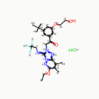 CCOc1nn2/c(=N/CC(F)(F)F)n(CC(=O)c3cc(OCCO)cc(C(C)(C)C)c3)nc2c(C)c1C.Cl